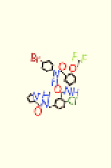 Cn1cccc1C(=O)NCc1ccc(Cl)c(C(=O)Nc2ccc(OCC(F)F)c(C(=O)Nc3ccc(Br)cc3)c2)c1